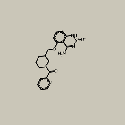 NC1=N[S+]([O-])Nc2cccc(OCC3CCCN(C(=O)c4ccccn4)C3)c21